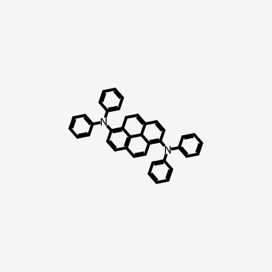 C1=CC(N(c2ccccc2)c2ccccc2)=C2C=Cc3ccc(N(c4ccccc4)c4ccccc4)c4c3C2C1=CC4